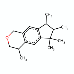 CC1COCc2cc3c(cc21)C(C)(C)C(C)C3C